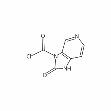 O=C(Cl)n1c(=O)[nH]c2ccncc21